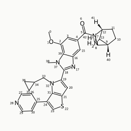 COc1cc(C(=O)N2C[C@H]3CC[C@@H]2[C@@H]3N)cc2nc(-c3cc4scc(-c5ccncc5)c4n3CC3CC3)n(C)c12